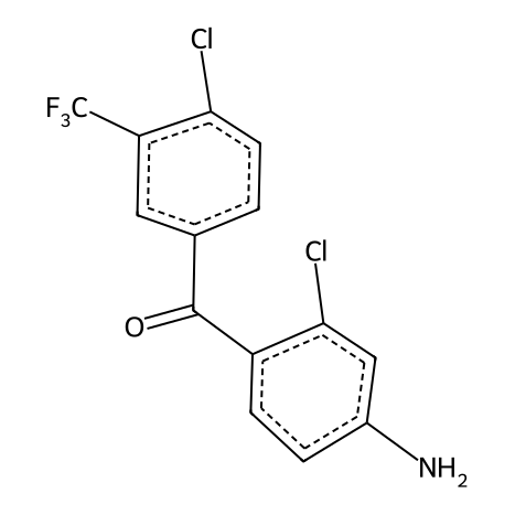 Nc1ccc(C(=O)c2ccc(Cl)c(C(F)(F)F)c2)c(Cl)c1